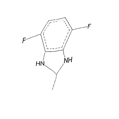 CC1Nc2c(F)ccc(F)c2N1